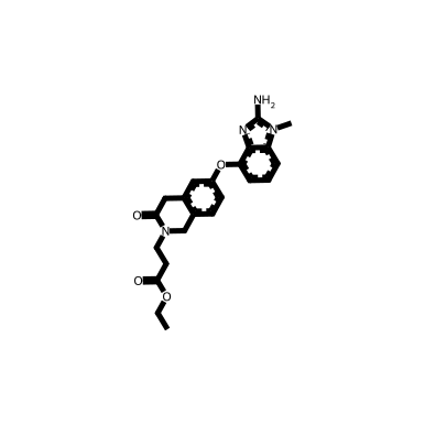 CCOC(=O)CCN1Cc2ccc(Oc3cccc4c3nc(N)n4C)cc2CC1=O